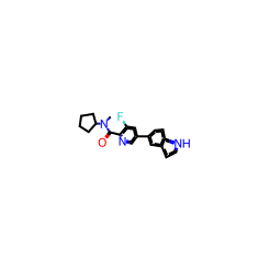 CN(C(=O)c1ncc(-c2ccc3[nH]ccc3c2)cc1F)C1CCCC1